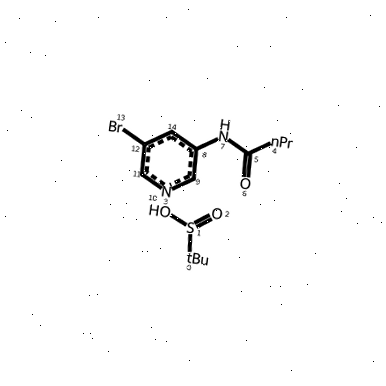 CC(C)(C)S(=O)O.CCCC(=O)Nc1cncc(Br)c1